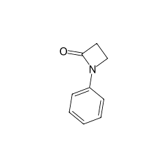 O=C1CCN1c1ccccc1